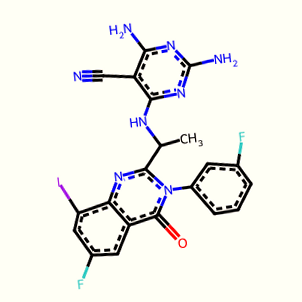 CC(Nc1nc(N)nc(N)c1C#N)c1nc2c(I)cc(F)cc2c(=O)n1-c1cccc(F)c1